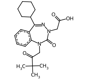 CC(C)(C)C(=O)CN1C(=O)N(CC(=O)O)N=C(C2CCCCC2)c2ccccc21